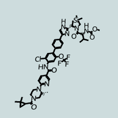 COC(=O)N[C@H](C(=O)N1C[Si](C)(C)C[C@H]1c1nc(-c2ccc(-c3cc(Cl)c(NC(=O)c4ccc(N5CCN(C(=O)C6CC6(C)C)C[C@H]5C)nc4)cc3OC(F)(F)F)cc2)c[nH]1)C(C)C